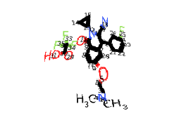 CN(C)CCOc1ccc2c(=O)n(C3CC3)c(C#N)c(-c3cccc(F)c3)c2c1.O=C(O)C(F)(F)F